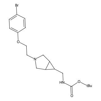 CC(C)(C)OC(=O)NCC1C2CN(CCOc3ccc(Br)cc3)CC12